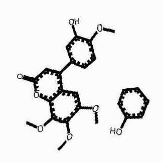 COc1ccc(-c2cc(=O)oc3c(OC)c(OC)c(OC)cc23)cc1O.Oc1ccccc1